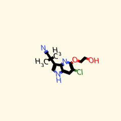 CC(C)(C#N)c1c[nH]c2cc(Cl)c(OCCO)nc12